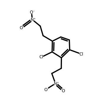 O=[N+]([O-])CCc1ccc(Cl)c(CC[N+](=O)[O-])c1Cl